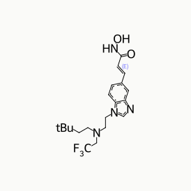 CC(C)(C)CCN(CCn1cnc2cc(/C=C/C(=O)NO)ccc21)CC(F)(F)F